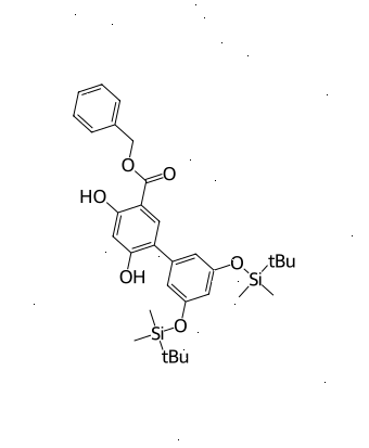 CC(C)(C)[Si](C)(C)Oc1cc(O[Si](C)(C)C(C)(C)C)cc(-c2cc(C(=O)OCc3ccccc3)c(O)cc2O)c1